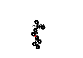 C1=Cc2c(c3ccccc3n2-c2cccc3c2oc2cc(-c4cccc5c4oc4cc(C6N=C(c7ccccc7)NC(c7ccccc7)N6)ccc45)ccc23)CC1